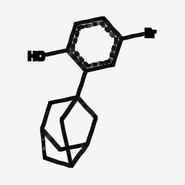 Oc1ccc(Br)cc1C12CC3CC(C1)C(C3)C2